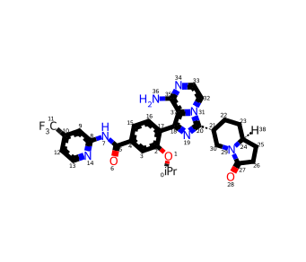 CC(C)Oc1cc(C(=O)Nc2cc(C(F)(F)F)ccn2)ccc1-c1nc([C@@H]2CC[C@H]3CCC(=O)N3C2)n2ccnc(N)c12